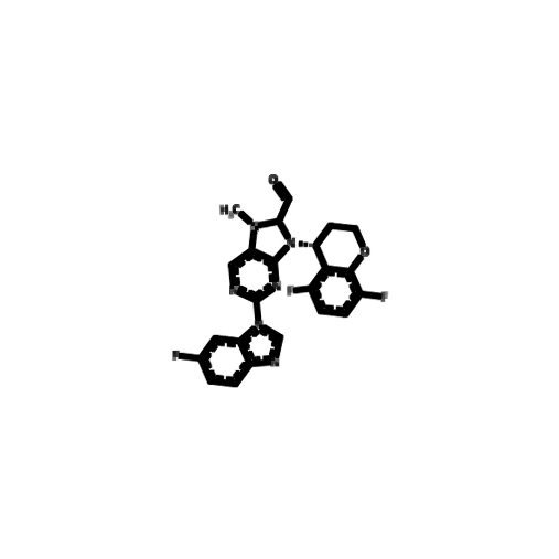 CN1c2cnc(-n3cnc4ccc(F)cc43)nc2N([C@@H]2CCOc3c(F)ccc(F)c32)C1C=O